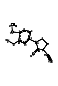 COc1ccc(N2CCC(C#N)C2=O)cc1CF